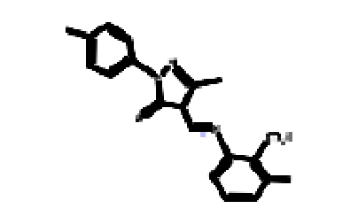 CC1=NN(c2ccc(C)cc2)C(=O)C1/C=N/c1cccc(C)c1C(=O)O